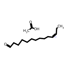 CC(=O)O.CC/C=C\CCCCCCCCCC=O